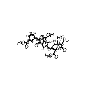 C[C@@H](O)[C@H]1C(=O)N2C(C(=O)O)=C(S[C@H]3C[C@@H](C(=O)Nc4cccc(C(=O)O)c4)N(C(=O)O)C3)[C@H](C)[C@H]12